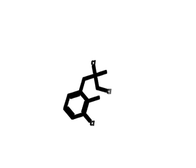 Cc1c(Cl)cccc1CC(C)(Cl)CCl